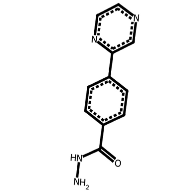 NNC(=O)c1ccc(-c2cnccn2)cc1